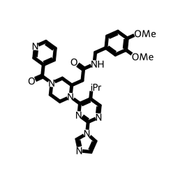 COc1ccc(CNC(=O)CC2CN(C(=O)c3cccnc3)CCN2c2nc(-n3ccnc3)ncc2C(C)C)cc1OC